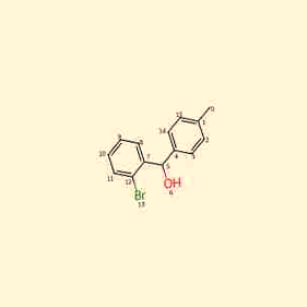 Cc1ccc(C(O)c2ccccc2Br)cc1